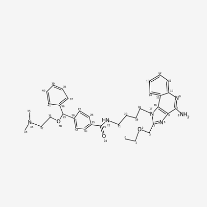 CCOCc1nc2c(N)nc3ccccc3c2n1CCCCNC(=O)c1ccc(C(OCCN(C)C)c2ccccc2)cc1